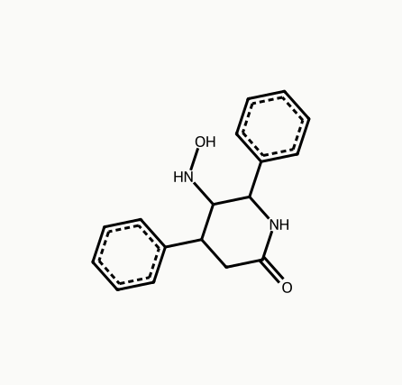 O=C1CC(c2ccccc2)C(NO)C(c2ccccc2)N1